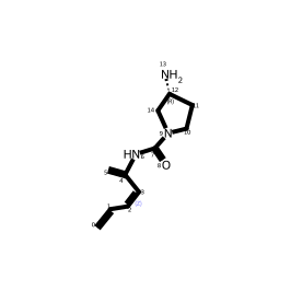 C=C/C=C\C(=C)NC(=O)N1CC[C@@H](N)C1